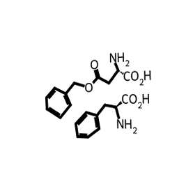 N[C@@H](CC(=O)OCc1ccccc1)C(=O)O.N[C@@H](Cc1ccccc1)C(=O)O